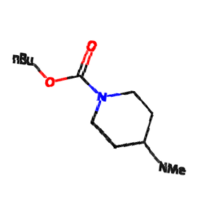 CCCCOC(=O)N1CCC(NC)CC1